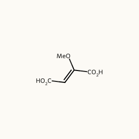 CO/C(=C\C(=O)O)C(=O)O